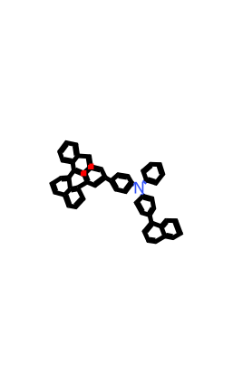 c1ccc(N(c2ccc(-c3cccc(-c4cccc5cccc(-c6cccc7ccccc67)c45)c3)cc2)c2ccc(-c3cccc4ccccc34)cc2)cc1